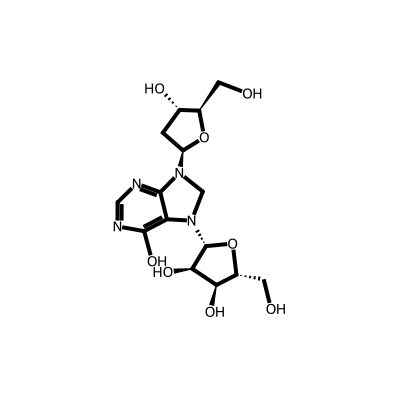 OC[C@H]1O[C@@H](N2CN([C@H]3C[C@H](O)[C@@H](CO)O3)c3ncnc(O)c32)[C@H](O)[C@@H]1O